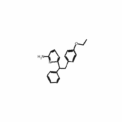 CCOc1ccc(CC(c2ccccc2)c2cccc(N)n2)cc1